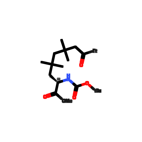 CCC(=O)CC(C)(C)CC(C)(C)C[C@H](NC(=O)OC(C)(C)C)C(=O)OC